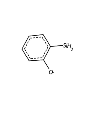 [O]c1ccccc1[SiH3]